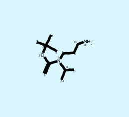 C=C(OC(C)(C)C)N(CCCN)C(C)C